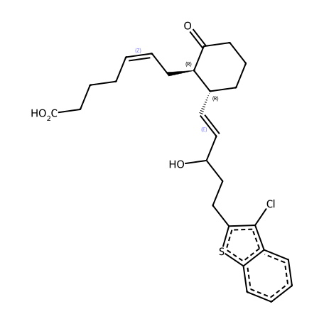 O=C(O)CCC/C=C\C[C@H]1C(=O)CCC[C@@H]1/C=C/C(O)CCc1sc2ccccc2c1Cl